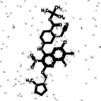 CN1CCC[C@H]1COc1nc2c(F)c(Br)c(Cl)cc2c(N[C@H]2CCN(C(=O)OC(C)(C)C)[C@H](CC#N)C2)c1[N+](=O)[O-]